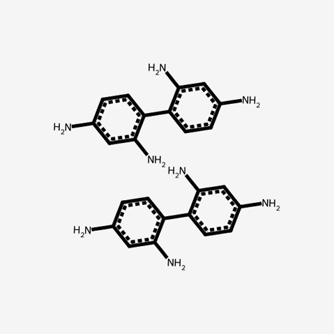 Nc1ccc(-c2ccc(N)cc2N)c(N)c1.Nc1ccc(-c2ccc(N)cc2N)c(N)c1